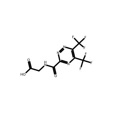 O=C(O)CNC(=O)c1nnc(C(F)(F)F)c(C(F)(F)F)n1